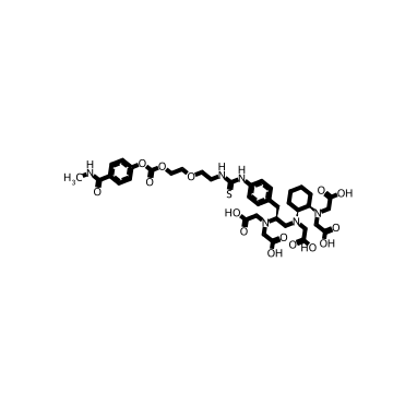 CNC(=O)c1ccc(OC(=O)OCCOCCNC(=S)Nc2ccc(C[C@@H](CN(CC(=O)O)[C@@H]3CCCC[C@H]3N(CC(=O)O)CC(=O)O)N(CC(=O)O)CC(=O)O)cc2)cc1